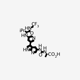 CC(C)C(Nc1cncc(-c2c[nH]c3ncc(NC(=O)N[C@@H](C)C(=O)O)cc23)c1)C(=O)NCC(F)(F)F